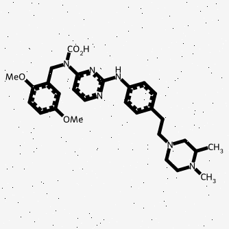 COc1ccc(OC)c(CN(C(=O)O)c2ccnc(Nc3ccc(CCN4CCN(C)C(C)C4)cc3)n2)c1